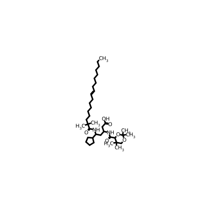 CCCCCCCCC=CCCCCCCC(C)(C)C(=O)NC(CC(CC(=O)O)NC(=O)C1OC(C)(C)OCC1(C)C)C1CCCC1